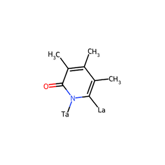 Cc1c(C)[c]([La])[n]([Ta])c(=O)c1C